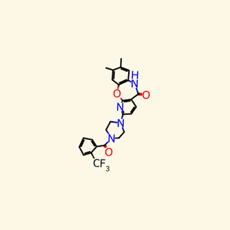 Cc1cc2c(cc1C)Oc1nc(N3CCN(C(=O)c4ccccc4C(F)(F)F)CC3)ccc1C(=O)N2